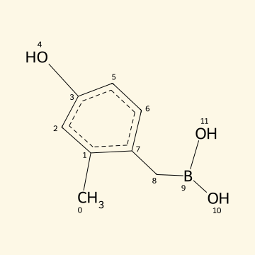 Cc1cc(O)ccc1CB(O)O